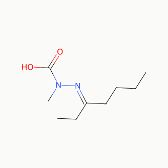 CCCCC(CC)=NN(C)C(=O)O